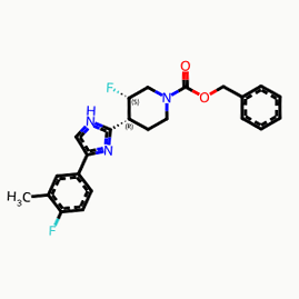 Cc1cc(-c2c[nH]c([C@H]3CCN(C(=O)OCc4ccccc4)C[C@H]3F)n2)ccc1F